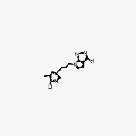 Cc1cc(CCCn2ccc3c(Cl)ncnc32)cnc1Cl